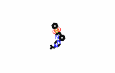 CC(C)CN1CCN(c2cccc3cc(S(=O)(=O)c4ccccc4)cnc23)CC1